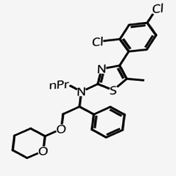 CCCN(c1nc(-c2ccc(Cl)cc2Cl)c(C)s1)C(COC1CCCCO1)c1ccccc1